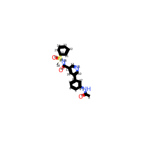 CC(=O)Nc1cccc(-c2cncc(C(=O)N=[S@@](C)(=O)C3C=CC=CC3)c2)c1